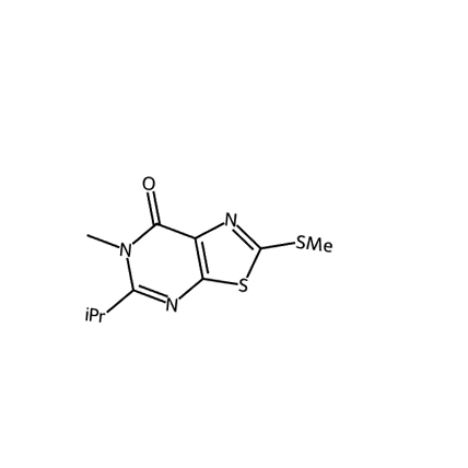 CSc1nc2c(=O)n(C)c(C(C)C)nc2s1